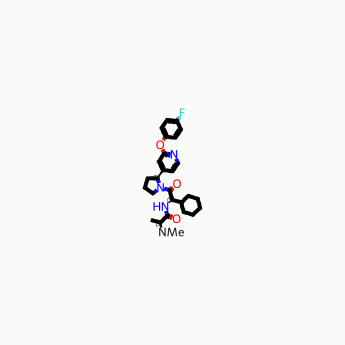 CN[C@@H](C)C(=O)N[C@H](C(=O)N1CCC[C@H]1c1ccnc(Oc2ccc(F)cc2)c1)C1CCCCC1